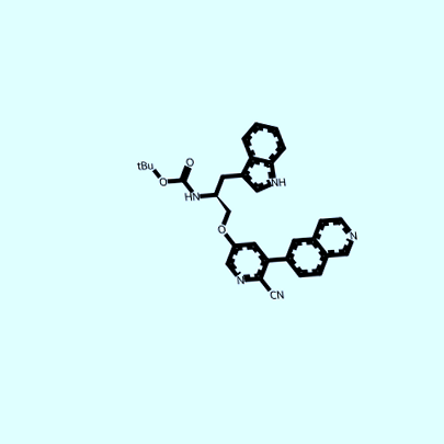 CC(C)(C)OC(=O)N[C@H](COc1cnc(C#N)c(-c2ccc3cnccc3c2)c1)Cc1c[nH]c2ccccc12